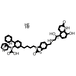 F.F.O=C(O)N(c1cc(CCCCn2c(=O)sc3cc(CNC[C@@H](O)c4ccc(O)c5[nH]c(=O)ccc45)ccc32)ccc1-c1ccccc1)[C@H]1CN2CCC1CC2